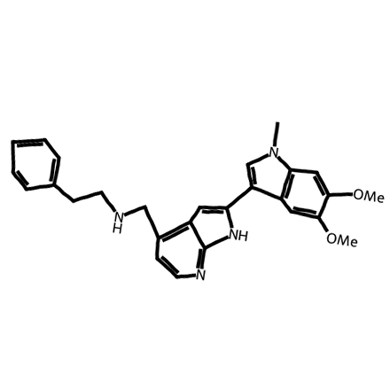 COc1cc2c(-c3cc4c(CNCCc5ccccc5)ccnc4[nH]3)cn(C)c2cc1OC